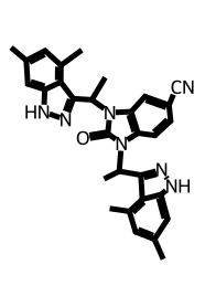 Cc1cc(C)c2c(C(C)n3c(=O)n(C(C)c4n[nH]c5cc(C)cc(C)c45)c4cc(C#N)ccc43)n[nH]c2c1